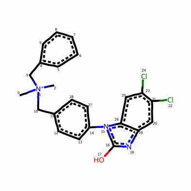 C[N+](C)(Cc1ccccc1)Cc1ccc(-n2c(O)nc3cc(Cl)c(Cl)cc32)cc1